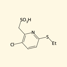 CCSc1ccc(Cl)c(CS(=O)(=O)O)n1